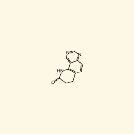 O=C1CCc2ccc3ncncc3c2N1